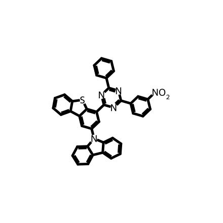 O=[N+]([O-])c1cccc(-c2nc(-c3ccccc3)nc(-c3cc(-n4c5ccccc5c5ccccc54)cc4c3sc3ccccc34)n2)c1